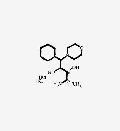 C[C@H](N)[C@@H](O)[C@@H](O)C(C1CCCCC1)N1CCOCC1.Cl.Cl